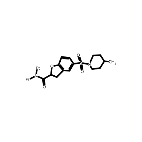 CCN(CC)C(=O)C1Cc2cc(S(=O)(=O)N3CCC(C)CC3)ccc2O1